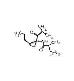 CCC[C@@H]1CC1(NC(=O)C(C)C)C(=O)C(C)C